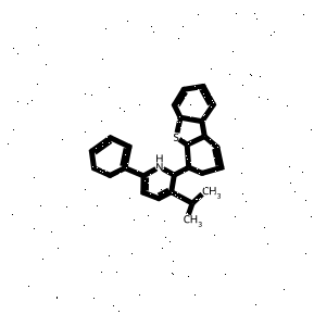 CC(C)C1=CC=C(C2=CC=CCC2)NC1C1CC=CC2C3C=CC=CC3SC21